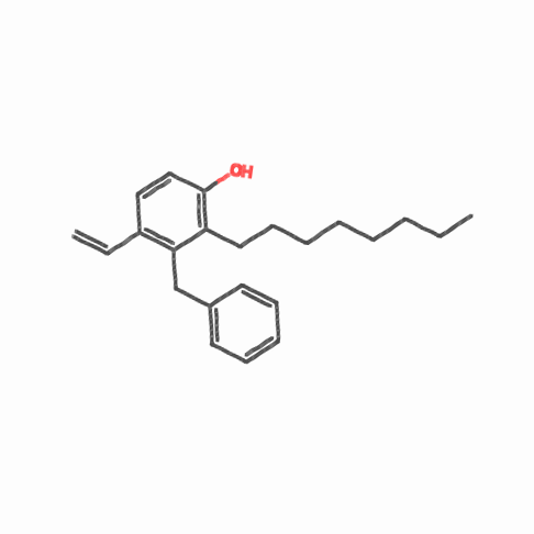 C=Cc1ccc(O)c(CCCCCCCC)c1Cc1ccccc1